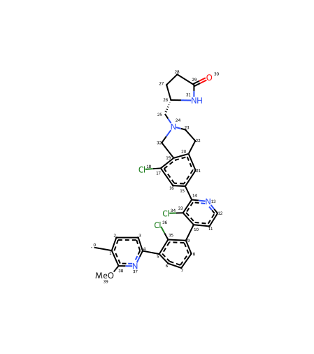 [CH2]c1ccc(-c2cccc(-c3ccnc(-c4cc(Cl)c5c(c4)CCN(C[C@@H]4CCC(=O)N4)C5)c3Cl)c2Cl)nc1OC